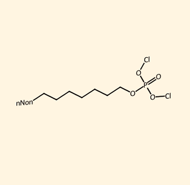 CCCCCCCCCCCCCCCCOP(=O)(OCl)OCl